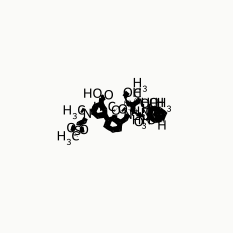 COc1c(CN2O[C@@H](CO)C([C@H](C)O)[C@H]2C(=O)N[C@H]2C[C@H]3C[C@@H]([C@@H]2C)C3(C)C)cccc1-c1cc(C(=O)O)cc(N(C)CCS(C)(=O)=O)c1